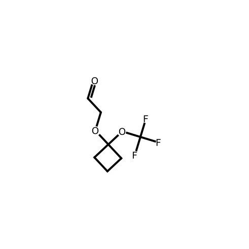 O=CCOC1(OC(F)(F)F)CCC1